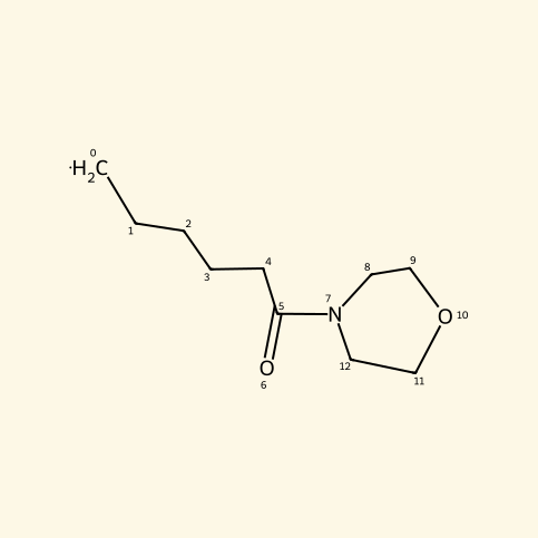 [CH2]CCCCC(=O)N1CCOCC1